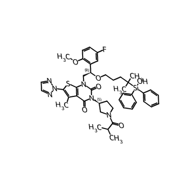 COc1ccc(F)cc1[C@H](Cn1c(=O)n([C@H]2CCN(C(=O)C(C)C)C2)c(=O)c2c(C)c(-n3nccn3)sc21)OCCCC(C)(C)[Si](O)(c1ccccc1)c1ccccc1